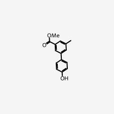 COC(=O)c1cc(C)cc(-c2ccc(O)cc2)c1